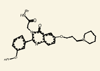 CCCOc1cccc(-c2nc3ccc(OCCCN4CCCCC4)cc3c(=O)n2CC(=O)NC(C)C)c1